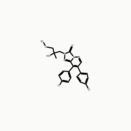 CCOCC(C)(O)Cn1nc2c(-c3ccc(Cl)cc3)c(-c3ccc(Cl)cc3)cnn2c1=O